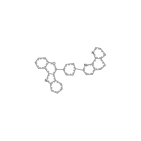 c1cnc2c(c1)ccc1ccc(-c3ccc(-c4oc5ccccc5c5nc6ccccc6c4-5)cc3)nc12